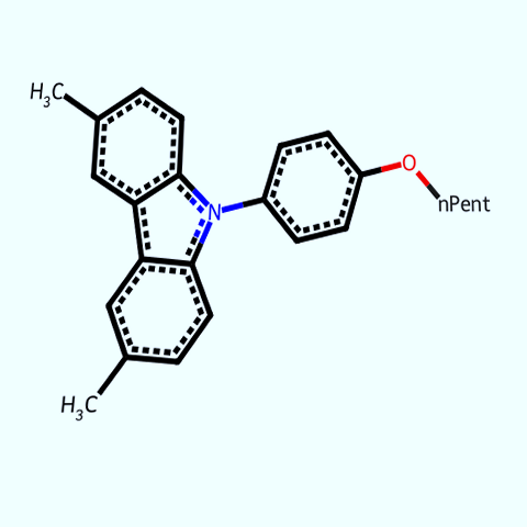 CCCCCOc1ccc(-n2c3ccc(C)cc3c3cc(C)ccc32)cc1